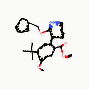 COC(=O)c1cc(OC)c(C(C)(C)C)cc1-c1cccnc1OCc1ccccc1